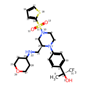 C[C@](O)(c1ccc(N2CCN(S(=O)(=O)c3cccs3)C[C@@H]2CNC2CCOCC2)cc1)C(F)(F)F